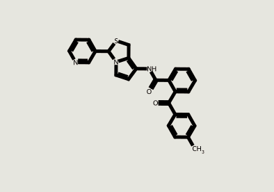 Cc1ccc(C(=O)c2ccccc2C(=O)Nc2ccn3c2CSC3c2cccnc2)cc1